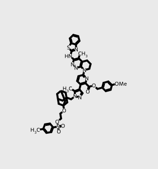 COc1ccc(COC(=O)c2nc(N3CCCc4c3nnc(Nc3nc5ccccc5s3)c4C)ccc2-c2cnn(CC34CC5CC(C3)CC(OCCOS(=O)(=O)c3ccc(C)cc3)(C5)C4)c2C)cc1